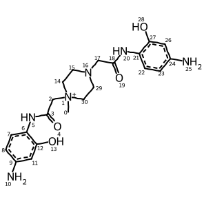 C[N+]1(CC(=O)Nc2ccc(N)cc2O)CCN(CC(=O)Nc2ccc(N)cc2O)CC1